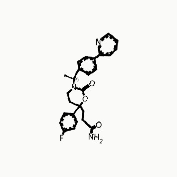 C[C@@H](c1ccc(-c2ccccn2)cc1)N1CCC(CCC(N)=O)(c2ccc(F)cc2)OC1=O